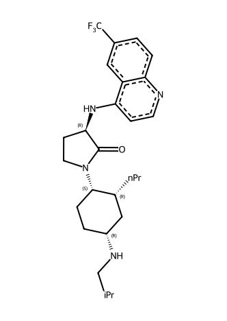 CCC[C@@H]1C[C@H](NCC(C)C)CC[C@@H]1N1CC[C@@H](Nc2ccnc3ccc(C(F)(F)F)cc23)C1=O